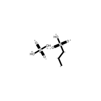 CCCS(=O)(=O)O.O=S(=O)(O)O